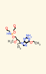 CCOc1nc(N)nc2c1ncn2C(C)CC(COP(NCC=O)OCC=O)OC